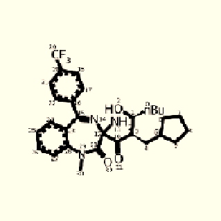 CCCC[C@H](O)[C@@H](CC1CCCC1)C(=O)C1(N)N=C(c2ccc(C(F)(F)F)cc2)c2ccccc2N(C)C1=O